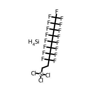 FC(F)(F)C(F)(F)C(F)(F)C(F)(F)C(F)(F)C(F)(F)C(F)(F)C(F)(F)CC[Si](Cl)(Cl)Cl.[SiH4]